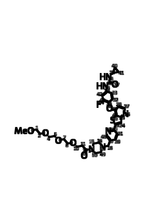 COCCOCCOCCOCCC(=O)N1CCN(Cc2ccc(-c3cc4nccc(Oc5ccc(NC(=O)NC6CC6)cc5F)c4s3)nc2)CC1